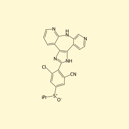 CC(C)[S+]([O-])c1cc(Cl)c(-c2nc3c([nH]2)-c2ccncc2Nc2ncccc2-3)c(C#N)c1